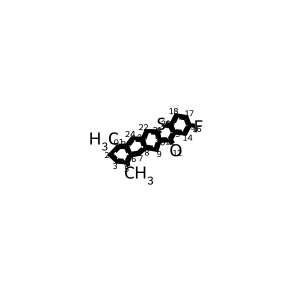 Cc1ccc(C)c2cc3cc4c(=O)c5cc(F)ccc5sc4cc3cc12